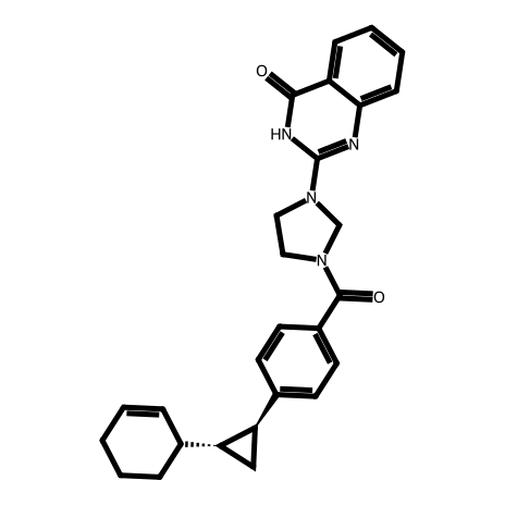 O=C(c1ccc([C@H]2C[C@@H]2C2C=CCCC2)cc1)N1CCN(c2nc3ccccc3c(=O)[nH]2)C1